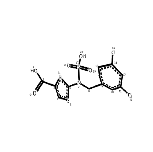 O=C(O)c1csc(N(Cc2cc(Cl)cc(Cl)c2)S(=O)(=O)O)n1